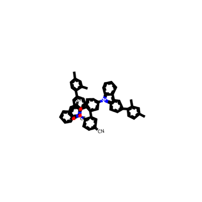 Cc1ccc(-c2ccc3c(c2)c2ccccc2n3-c2ccc(-c3c(C(F)(F)F)cccc3C(F)(F)F)c(-c3cc(C#N)ccc3-n3c4ccccc4c4cc(-c5ccc(C)cc5C)ccc43)c2)c(C)c1